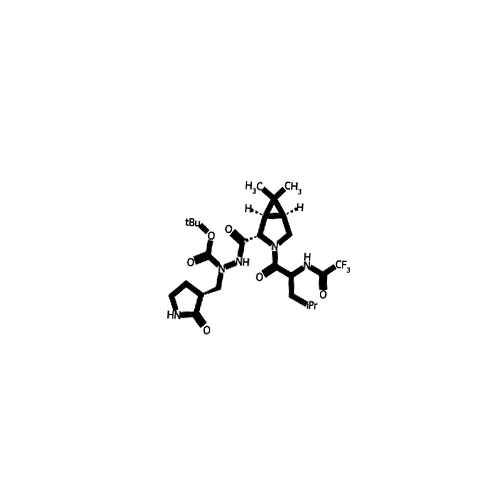 CC(C)CC(NC(=O)C(F)(F)F)C(=O)N1C[C@H]2[C@@H]([C@H]1C(=O)NN(C[C@@H]1CCNC1=O)C(=O)OC(C)(C)C)C2(C)C